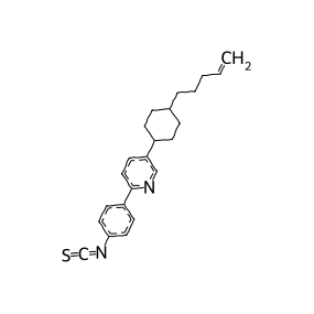 C=CCCCC1CCC(c2ccc(-c3ccc(N=C=S)cc3)nc2)CC1